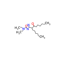 CCCCCCC(=O)C(CCCCCC)c1noc(N(CC)CC)n1